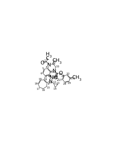 CC(=O)N1c2ccc(C3=C(N(N)C4CC4)CCCC=C3)cc2N(C(=O)Oc2cccc(C)c2)C[C@@H]1C